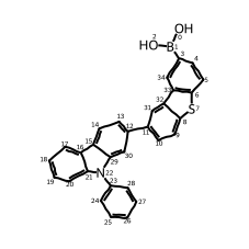 OB(O)c1ccc2sc3ccc(-c4ccc5c6ccccc6n(-c6ccccc6)c5c4)cc3c2c1